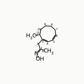 C/C(C/C1=C/C=C\CCCCC1C)=N\O